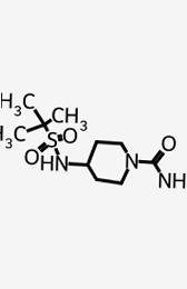 CC(C)(C)S(=O)(=O)NC1CCN(C(N)=O)CC1